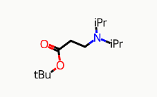 CC(C)N(CCC(=O)OC(C)(C)C)C(C)C